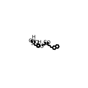 CN(CCOc1ccc(CC2SC(=O)NC2=O)cc1)C(=O)CCCC1CCC2CCCCC2C1